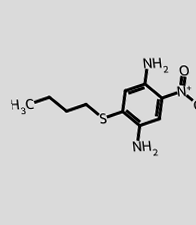 CCCCSc1cc(N)c([N+](=O)[O-])cc1N